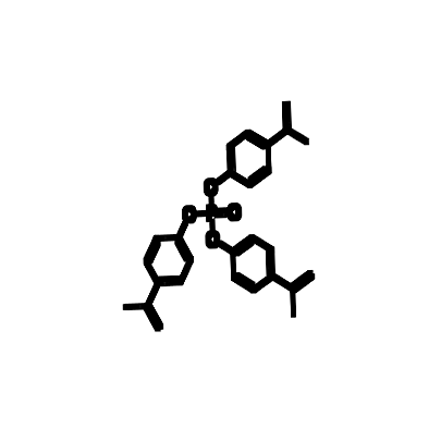 C=C(C)c1ccc(OP(=O)(Oc2ccc(C(=C)C)cc2)Oc2ccc(C(=C)C)cc2)cc1